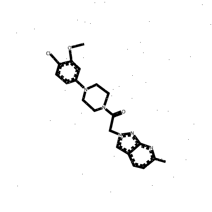 COc1cc(N2CCN(C(=O)Cn3cc4ccc(C)nc4n3)CC2)ccc1Cl